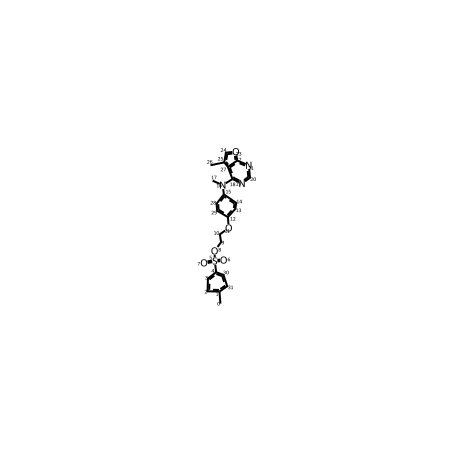 Cc1ccc(S(=O)(=O)OCCOc2ccc(N(C)c3ncnc4occ(C)c34)cc2)cc1